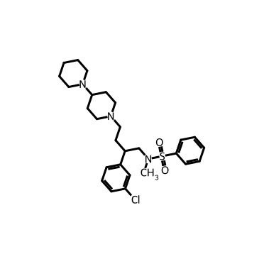 CN(CC(CCN1CCC(N2CCCCC2)CC1)c1cccc(Cl)c1)S(=O)(=O)c1ccccc1